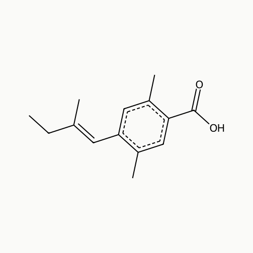 CC/C(C)=C/c1cc(C)c(C(=O)O)cc1C